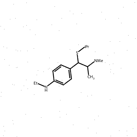 CCNc1ccc(C(SC(C)C)C(C)NC)cc1